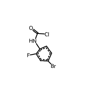 O=C(Cl)Nc1ccc(Br)cc1F